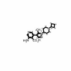 Cc1c(-c2cncc(N)c2C(=O)O)cnn1C1CCN(C2CCC2)CC1